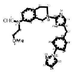 COCCN(C=O)c1ccc2c(c1)CN(c1ncc(Cc3ccc(-n4cccn4)cc3)s1)CC2